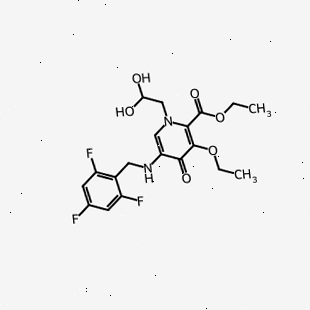 CCOC(=O)c1c(OCC)c(=O)c(NCc2c(F)cc(F)cc2F)cn1CC(O)O